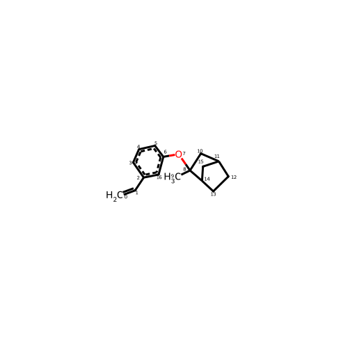 C=Cc1cccc(OC2(C)CC3CCC2C3)c1